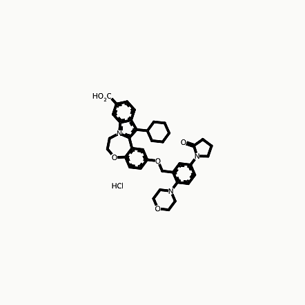 Cl.O=C(O)c1ccc2c(C3CCCCC3)c3n(c2c1)CCOc1ccc(OCc2cc(N4CCCC4=O)ccc2N2CCOCC2)cc1-3